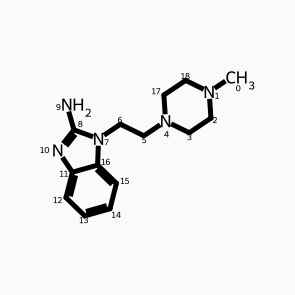 CN1CCN(CCn2c(N)nc3ccccc32)CC1